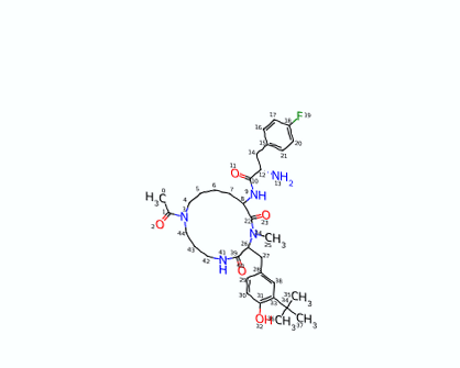 CC(=O)N1CCCCC(NC(=O)[C@@H](N)Cc2ccc(F)cc2)C(=O)N(C)C(Cc2ccc(O)c(C(C)(C)C)c2)C(=O)NCCC1